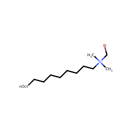 CCCCCCCCCCCCCCCC[N+](C)(C)CBr